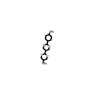 CCCCC1CCC(C2OCC(C3OCC(CCCC)CO3)CO2)CC1